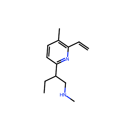 C=Cc1nc(C(CC)CNC)ccc1C